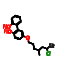 CC[C@@H](Cl)CC(C)CCCOc1ccc(O)c(-c2ccccc2O)c1